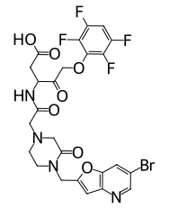 O=C(O)CC(NC(=O)CN1CCN(Cc2cc3ncc(Br)cc3o2)C(=O)C1)C(=O)COc1c(F)c(F)cc(F)c1F